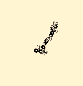 C[C@@H]1Cc2c([nH]c3ccccc23)[C@@H](c2c(F)cc(N3CC4(CCN(CC(=O)N5Cc6cc7c(cc6C5)C(=O)N(C5CCC(=O)NC5=O)C7=O)CC4)C3)cc2F)N1CC(F)F